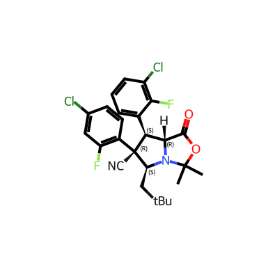 CC(C)(C)C[C@@H]1N2[C@@H](C(=O)OC2(C)C)[C@H](c2cccc(Cl)c2F)[C@@]1(C#N)c1ccc(Cl)cc1F